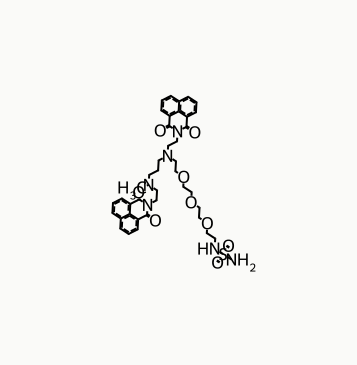 CN(CCCN(CCOCCOCCOCCNS(N)(=O)=O)CCN1C(=O)c2cccc3cccc(c23)C1=O)CCN1C(=O)c2cccc3cccc(c23)C1=O